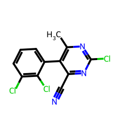 Cc1nc(Cl)nc(C#N)c1-c1cccc(Cl)c1Cl